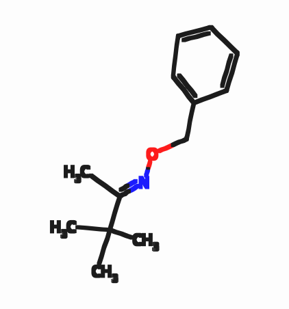 C/C(=N\OCc1ccccc1)C(C)(C)C